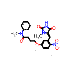 CN1C(=O)NC(=O)C1=Cc1cc(OCCCC(=O)N(C)C2CCCCC2)ccc1[N+](=O)[O-]